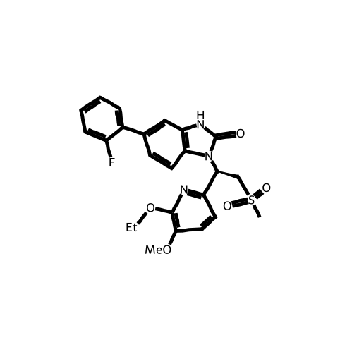 CCOc1nc([C@H](CS(C)(=O)=O)n2c(=O)[nH]c3cc(-c4ccccc4F)ccc32)ccc1OC